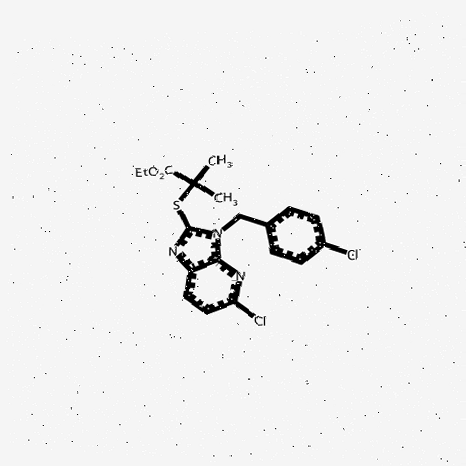 CCOC(=O)C(C)(C)Sc1nc2ccc(Cl)nc2n1Cc1ccc(Cl)cc1